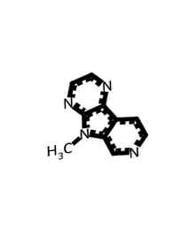 Cn1c2cnccc2c2nccnc21